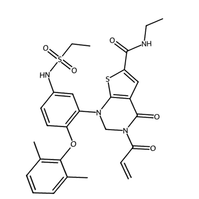 C=CC(=O)N1CN(c2cc(NS(=O)(=O)CC)ccc2Oc2c(C)cccc2C)c2sc(C(=O)NCC)cc2C1=O